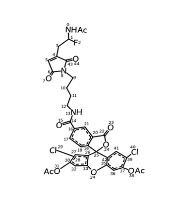 CC(=O)NC(F)CC1=CC(=O)N(CCCCNC(=O)c2ccc3c(c2)C(=O)OC32c3cc(Cl)c(OC(C)=O)cc3Oc3cc(OC(C)=O)c(Cl)cc32)C1=O